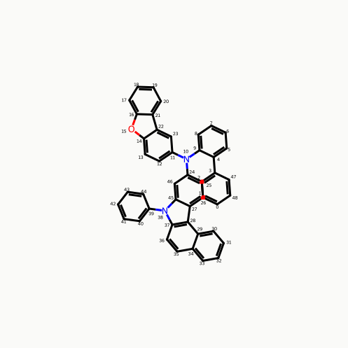 c1ccc(-c2ccccc2N(c2ccc3oc4ccccc4c3c2)c2ccc3c4c5ccccc5ccc4n(-c4ccccc4)c3c2)cc1